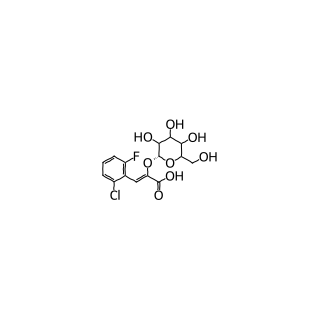 O=C(O)/C(=C/c1c(F)cccc1Cl)O[C@H]1OC(CO)C(O)C(O)C1O